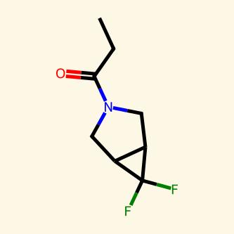 CCC(=O)N1CC2C(C1)C2(F)F